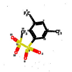 O=S(=O)(c1cc(C(F)(F)F)cc(C(F)(F)F)c1)S(=O)(=O)C(F)(F)F